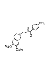 COc1cc2c(cc1OC)CN(CCNC(=O)c1ccc(N)cc1)CC2